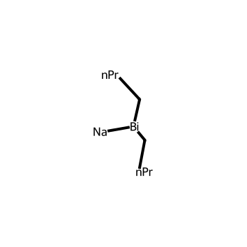 CCC[CH2][Bi]([Na])[CH2]CCC